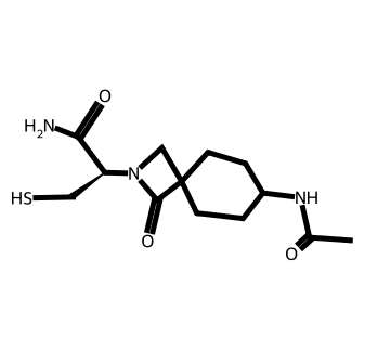 CC(=O)NC1CCC2(CC1)CN([C@@H](CS)C(N)=O)C2=O